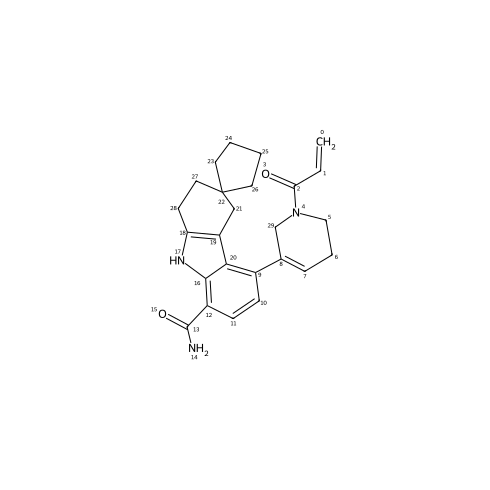 C=CC(=O)N1CCC=C(c2ccc(C(N)=O)c3[nH]c4c(c23)CC2(CCCC2)CC4)C1